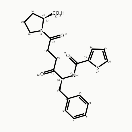 O=C(N[C@@H](Cc1ccccc1)C(=O)CCC(=O)N1CCC[C@H]1C(=O)O)c1cccs1